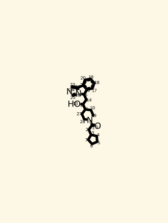 O=C(CC1CCCC1)N1CCC(C(O)CC2c3ccccc3-c3cncn32)CC1